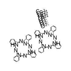 [Co+2].[Co+2].[Fe+3].[Fe+3].[O-2].[O-2].[O-2].[O-2].[O-2].c1ccc2c(c1)-c1nc-2nc2[nH]c(nc3nc(nc4[nH]c(n1)c1ccccc41)-c1ccccc1-3)c1ccccc21.c1ccc2c(c1)-c1nc-2nc2[nH]c(nc3nc(nc4[nH]c(n1)c1ccccc41)-c1ccccc1-3)c1ccccc21